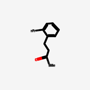 CCCc1ccccc1CCC(=O)SC